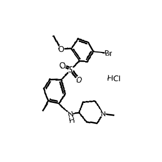 COc1ccc(Br)cc1S(=O)(=O)c1ccc(C)c(NC2CCN(C)CC2)c1.Cl